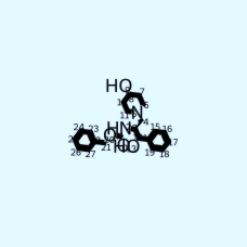 O=C(N[C@@H](CN1CCC(O)CC1)[C@H](O)c1ccccc1)OCc1ccccc1